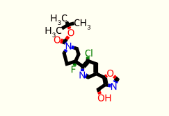 CC(C)(C)OC(=O)N1CCC(F)(c2ncc(-c3ocnc3CO)cc2Cl)CC1